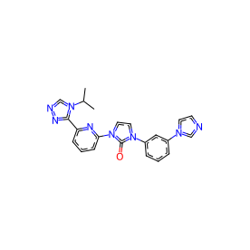 CC(C)n1cnnc1-c1cccc(-n2ccn(-c3cccc(-n4ccnc4)c3)c2=O)n1